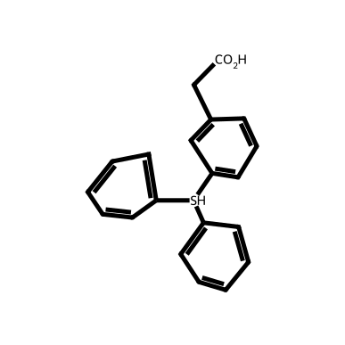 O=C(O)Cc1cccc([SH](c2ccccc2)c2ccccc2)c1